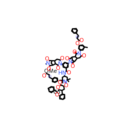 COC(=O)/C=C/c1ccc(OC(=O)C(CC([CH2][Co](=[O])[c]2ccccc2)c2ccccc2)ON2C(C)(C)CC(NC(=O)c3cc(N4C(=O)C5CC(C4=O)C4C(=O)N(c6cc(C)cc(OC(=O)/C=C/c7ccccc7)c6)C(=O)CC54)cc(N4C(=O)CC5C6CC(C(=O)N(C)C6=O)C5C4=O)c3)CC2(C)C)cc1